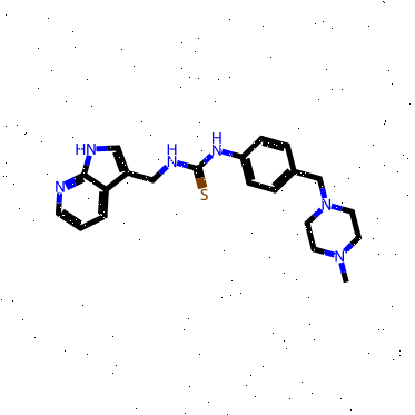 CN1CCN(Cc2ccc(NC(=S)NCc3c[nH]c4ncccc34)cc2)CC1